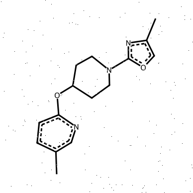 Cc1ccc(OC2CCN(c3nc(C)co3)CC2)nc1